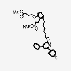 COC(=O)CCCOc1cccc(CCCCCCOc2cc(-c3ccccc3)cc(-c3ccc(F)cc3)n2)c1CCC(=O)OC